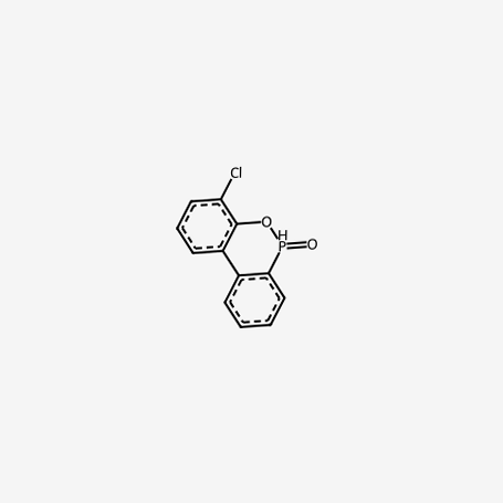 O=[PH]1Oc2c(Cl)cccc2-c2ccccc21